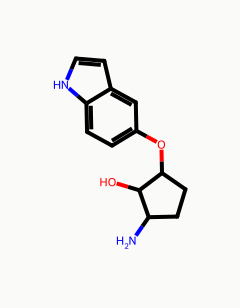 NC1CCC(Oc2ccc3[nH]ccc3c2)C1O